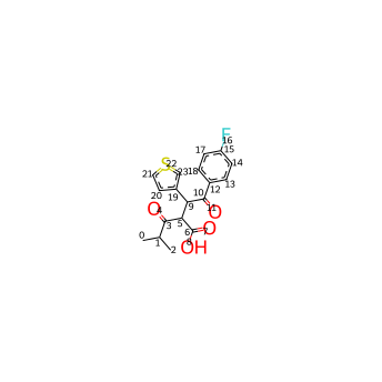 CC(C)C(=O)C(C(=O)O)C(C(=O)c1ccc(F)cc1)c1ccsc1